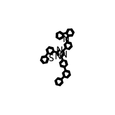 c1ccc(-c2cccc(-c3ccc(-c4nc(-c5cccc(-n6c7ccccc7c7ccccc76)c5)nc(-c5cccc6c5sc5ccccc56)n4)cc3)c2)cc1